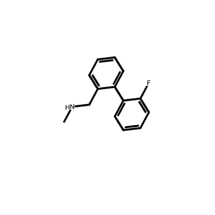 CNCc1ccccc1-c1ccccc1F